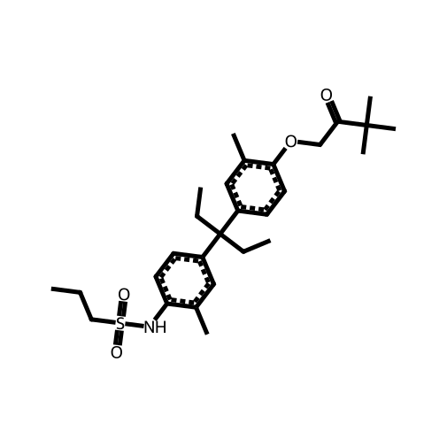 CCCS(=O)(=O)Nc1ccc(C(CC)(CC)c2ccc(OCC(=O)C(C)(C)C)c(C)c2)cc1C